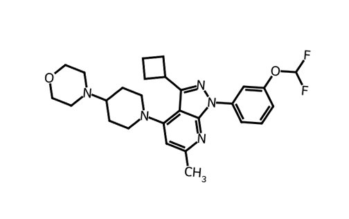 Cc1cc(N2CCC(N3CCOCC3)CC2)c2c(C3CCC3)nn(-c3cccc(OC(F)F)c3)c2n1